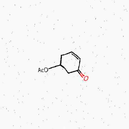 CC(=O)OC1CC=CC(=O)C1